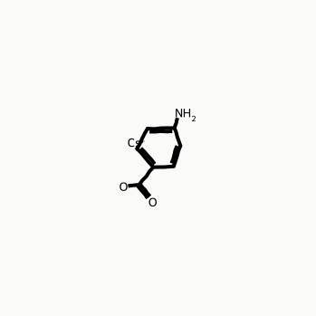 Nc1ccc(C(=O)[O-])cc1.[Cs+]